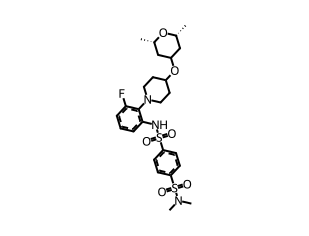 C[C@@H]1CC(OC2CCN(c3c(F)cccc3NS(=O)(=O)c3ccc(S(=O)(=O)N(C)C)cc3)CC2)C[C@H](C)O1